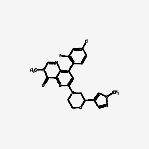 Cn1cc(C2CN(c3cc(-c4ccc(Cl)cc4F)c4ncn(C)c(=O)c4n3)CCO2)cn1